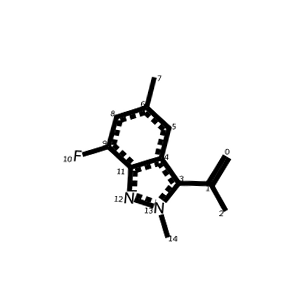 C=C(C)c1c2cc(C)cc(F)c2nn1C